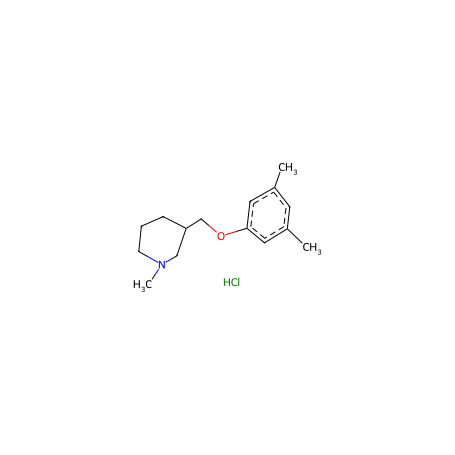 Cc1cc(C)cc(OCC2CCCN(C)C2)c1.Cl